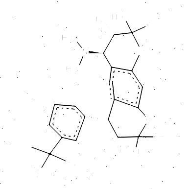 CN(C)[C@@H]1c2cc3c(cc2OC(C)(C)[C@H]1O)OC(C)(C)C[C@@H]3c1cccc(C(F)(F)F)c1